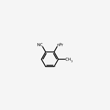 CCCc1c(C)[c]ccc1C#N